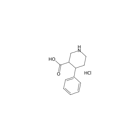 Cl.O=C(O)C1CNCCC1c1ccccc1